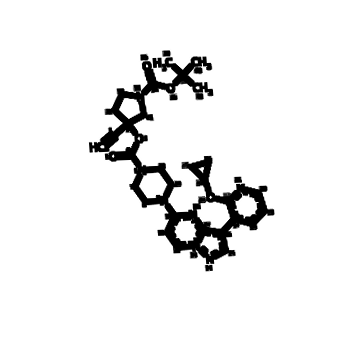 C#CC1(OC(=O)N2CCN(c3ccn4ncc(-c5cccnc5OC5CC5)c4n3)CC2)CCN(C(=O)OC(C)(C)C)C1